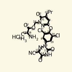 CC(C)c1cc(Oc2c(Cl)cc(-n3nc(C#N)c(=O)[nH]c3=O)cc2Cl)nn(COC(=O)[C@H](C)N)c1=O.Cl